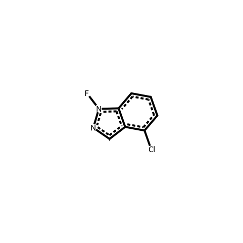 Fn1n[c]c2c(Cl)cccc21